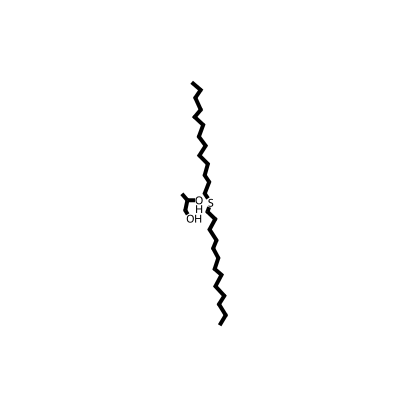 CC(O)CO.CCCCCCCCCCCCCSCCCCCCCCCCCCC